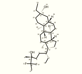 CC[C@H](CC[C@@](C)(O)C(F)(F)F)[C@H]1CC[C@H]2[C@@H]3CC[C@H]4C[C@](O)(CC)CC[C@]4(C)[C@H]3CC[C@]12C